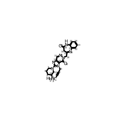 CC#CCn1c(N2CCCC(N)C2)nc2cnn(CC3=Nc4ccccc4NC(=O)C3)c(=O)c21